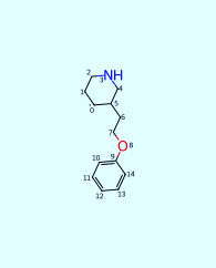 [CH]1CCNCC1CCOc1ccccc1